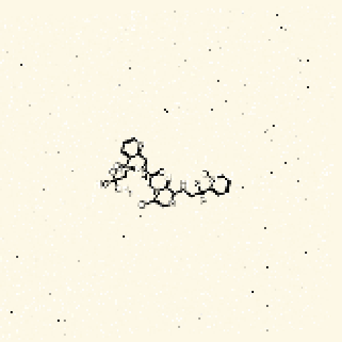 CC(C)(O)CS(=O)(=O)c1cccnc1CNC(=O)Cn1c(Cl)cnc(NCC(F)(F)c2cccc[n+]2[O-])c1=O